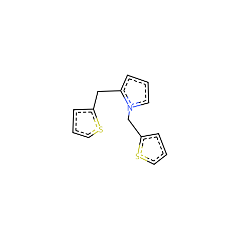 c1csc(Cc2cccn2Cc2cccs2)c1